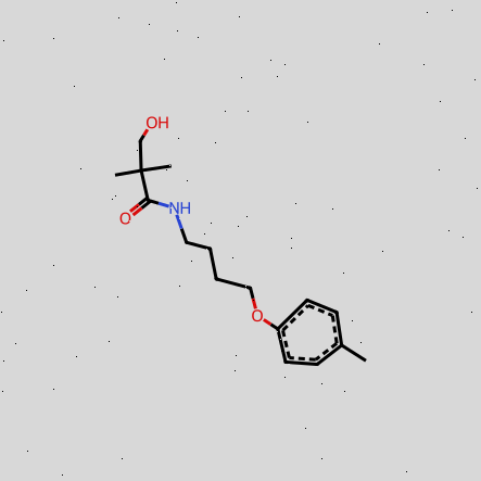 Cc1ccc(OCCCCNC(=O)C(C)(C)CO)cc1